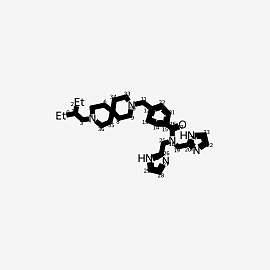 CCC(CC)CN1CCC2(CCN(Cc3ccc(C(=O)N(Cc4ncc[nH]4)Cc4ncc[nH]4)cc3)CC2)CC1